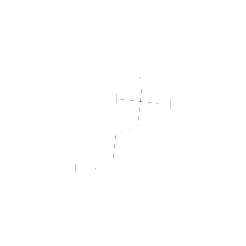 OCCCC(Cl)(Cl)Cl